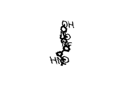 CC(C)NC(=O)c1cccc(-c2ccc(F)c(N3CCC4(CC3)CCN(C3CCC(O)CC3)C4=O)c2)c1